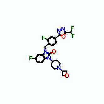 O=c1n(Cc2ccc(-c3nnc(C(F)F)o3)cc2F)c2cc(F)ccc2n1C1CCN(C2COC2)CC1